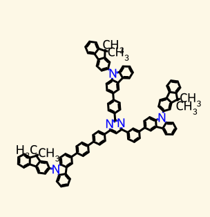 CC1(C)c2ccccc2-c2ccc(-n3c4ccccc4c4cc(-c5ccc(-c6ccc(-c7cc(-c8cccc(-c9ccc%10c(c9)c9ccccc9n%10-c9ccc%10c(c9)C(C)(C)c9ccccc9-%10)c8)nc(-c8ccc(-c9ccc%10c(c9)c9ccccc9n%10-c9ccc%10c(c9)C(C)(C)c9ccccc9-%10)cc8)n7)cc6)cc5)ccc43)cc21